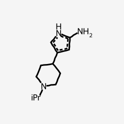 CC(C)N1CCC(c2c[nH]c(N)c2)CC1